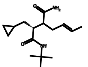 C/C=C/CC(C(N)=O)[C@@H](CC1CC1)C(=O)NC(C)(C)C